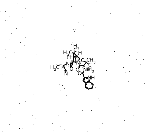 CC[C@@H](C#N)NC(=O)[C@@H]1[C@@H]2[C@H](CN1C(=O)[C@@H](NC(=O)c1cc3ccccc3[nH]1)C(C)(C)C)C2(C)C